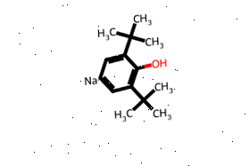 CC(C)(C)c1cccc(C(C)(C)C)c1O.[Na]